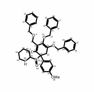 [CH2]C1=C(COCc2ccccc2)C(OCc2ccccc2)=C(OCc2ccccc2)CC1(c1ccc(OC)cc1)[N+](=O)C1CCCCP1